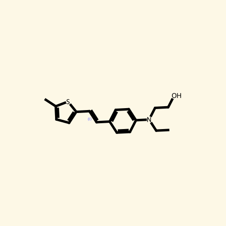 CCN(CCO)c1ccc(/C=C/c2ccc(C)s2)cc1